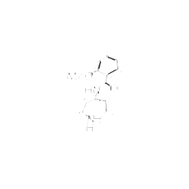 COc1ccccc1C(=O)NC1CCCNCC1